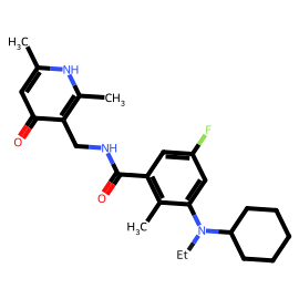 CCN(c1cc(F)cc(C(=O)NCc2c(C)[nH]c(C)cc2=O)c1C)C1CCCCC1